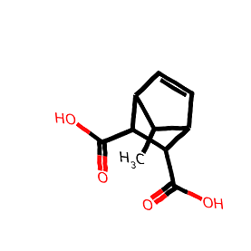 CC1C2C=CC1C(C(=O)O)C2C(=O)O